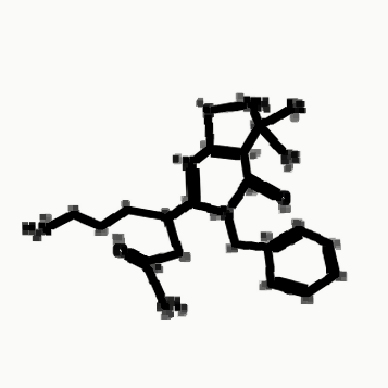 CCC1(CC)NSc2nc(C(CCCN)CC(N)=O)n(Cc3ccccc3)c(=O)c21